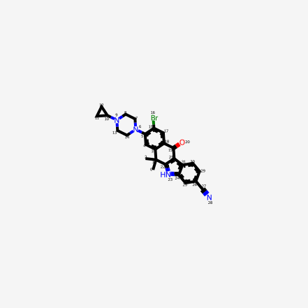 CC1(C)c2cc(N3CCN(C4CC4)CC3)c(Br)cc2C(=O)c2c1[nH]c1cc(C#N)ccc21